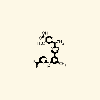 Cc1cc(Nc2nccc(C(F)F)n2)cc(-c2cnc([C@H](C)[C@H]3CC[C@@H](C(=O)O)[C@@H](C)C3)nc2)c1